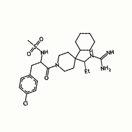 CCC(NC(=N)N)C1(C2CCCCC2)CCN(C(=O)C(Cc2ccc(Cl)cc2)NS(C)(=O)=O)CC1